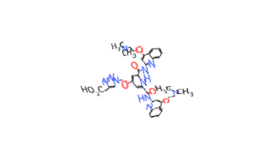 CN(C)CCOc1cc(NC(=O)c2cc(OCn3cc(CC(=O)O)nn3)cc(C(=O)Nc3cc(OCCN(C)C)c4ccccc4n3)n2)nc2ccccc12